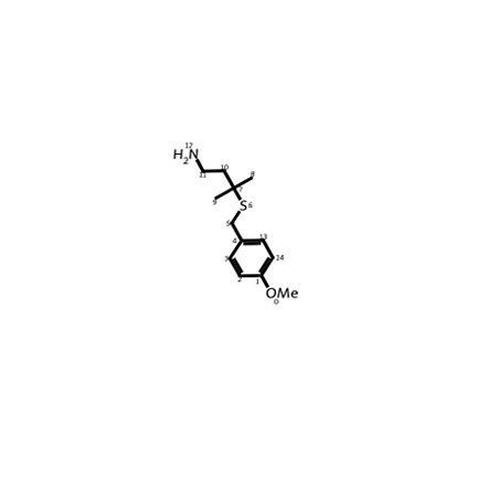 COc1ccc(CSC(C)(C)CCN)cc1